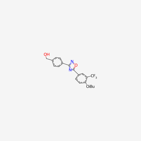 CC(C)COc1ccc(-c2nc(-c3ccc(CO)cc3)no2)cc1C(F)(F)F